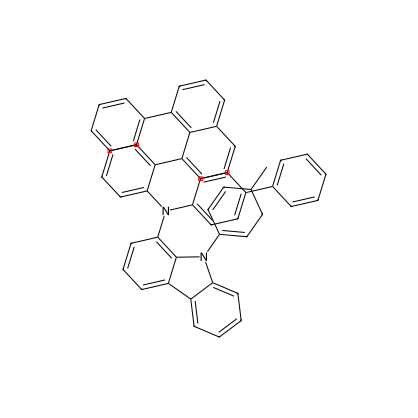 CC1C=CC(n2c3ccccc3c3cccc(N(c4ccc(-c5ccccc5)cc4)c4ccccc4-c4cccc5cccc(-c6ccccc6)c45)c32)=CC1